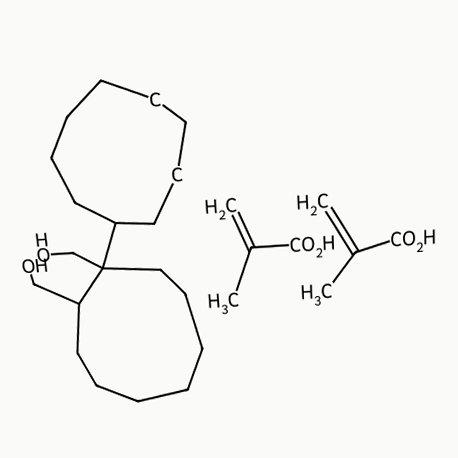 C=C(C)C(=O)O.C=C(C)C(=O)O.OCC1CCCCCCCC1(CO)C1CCCCCCCC1